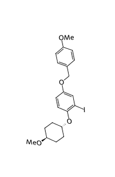 COc1ccc(COc2ccc(O[C@H]3CC[C@H](OC)CC3)c(I)c2)cc1